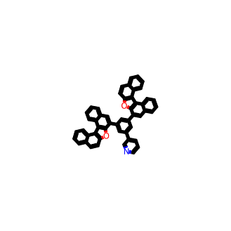 c1cncc(-c2cc(-c3cc4ccccc4c4c3oc3ccc5ccccc5c34)cc(-c3cc4ccccc4c4c3oc3ccc5ccccc5c34)c2)c1